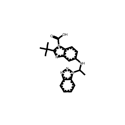 CC(Nc1ccc2c(c1)nc(C(C)(C)C)n2C(=O)O)n1nnc2ccccc21